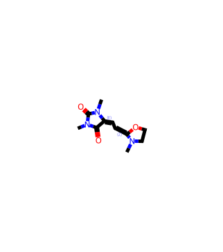 CN1C(=O)/C(=C\C=C2/OCCN2C)N(C)C1=O